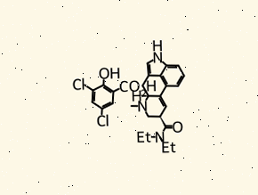 CCN(CC)C(=O)[C@@H]1C=C2c3cccc4[nH]cc(c34)C[C@H]2N(C)C1.O=C(O)c1cc(Cl)cc(Cl)c1O